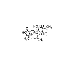 C=C/C(C)=C/CC1C2(C)CCCC(C)(C)C2CC(O)C1(O)CSCC(NC(C)=O)C(=O)O